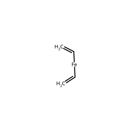 C=[CH][Fe][CH]=C